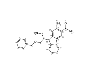 NCC(COCc1ccccc1)n1c2ccccc2c2cc(C(N)=O)c(N)nc21